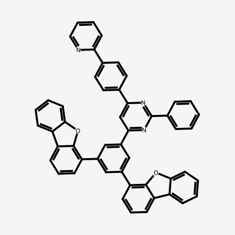 c1ccc(-c2nc(-c3ccc(-c4ccccn4)cc3)cc(-c3cc(-c4cccc5c4oc4ccccc45)cc(-c4cccc5c4oc4ccccc45)c3)n2)cc1